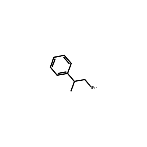 [CH2]C(C[C](C)C)c1ccccc1